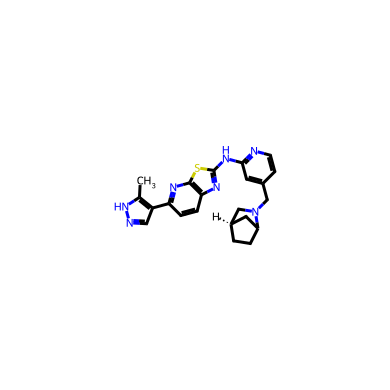 Cc1[nH]ncc1-c1ccc2nc(Nc3cc(CN4C[C@@H]5CCC4C5)ccn3)sc2n1